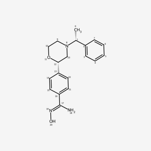 C[C@H](c1ccccc1)N1CCO[C@@H](c2ccc(/C(N)=N/O)cc2)C1